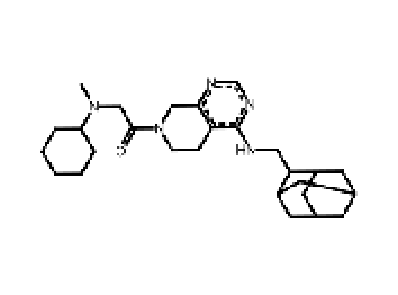 CN(CC(=O)N1CCc2c(ncnc2NCC2C3CC4CC(C3)CC2C4)C1)C1CCCCC1